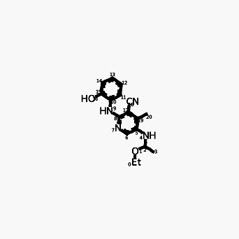 CCOC(C)Nc1cnc(Nc2ccccc2O)c(C#N)c1C